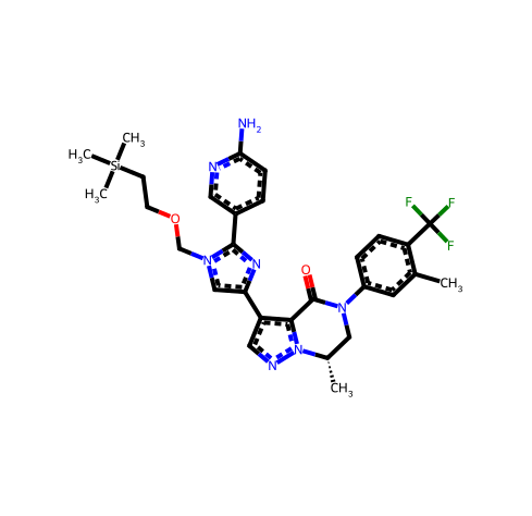 Cc1cc(N2C[C@H](C)n3ncc(-c4cn(COCC[Si](C)(C)C)c(-c5ccc(N)nc5)n4)c3C2=O)ccc1C(F)(F)F